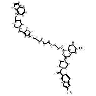 Cc1cc2ccc(C(=O)N3CCN(C(=O)CN4C[C@@H](C)NC[C@@H]4COCCOCCOCCOc4cc(CN5CCC(Oc6ccnc7ccsc67)CC5)on4)CC3)cn2c1